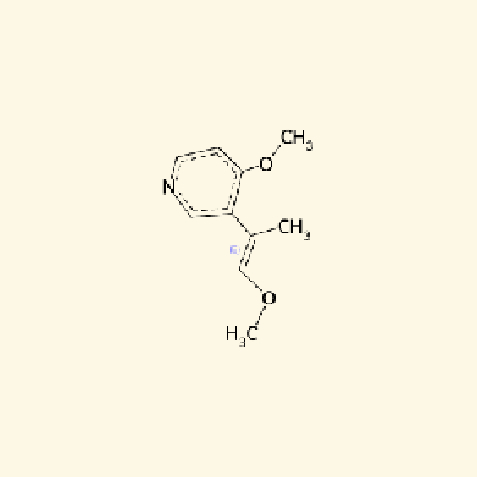 CO/C=C(\C)c1cnccc1OC